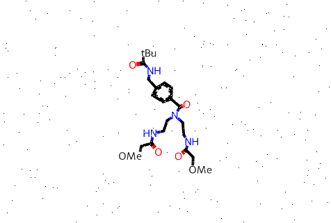 COCC(=O)NCCN(CCNC(=O)COC)C(=O)c1ccc(CNC(=O)C(C)(C)C)cc1